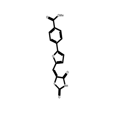 COC(=O)c1ccc(-c2ccc(/C=C3/SC(=O)NC3=O)o2)cc1